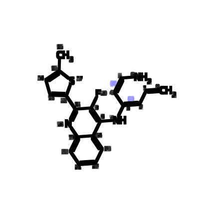 C=C/C=C(\C=C/N)Nc1c(F)c(-c2ccc(C)s2)nc2ccccc12